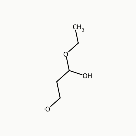 CCOC(O)CC[O]